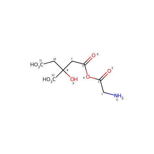 NCC(=O)OC(=O)CC(O)(CC(=O)O)C(=O)O